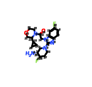 N[C@@H]1CN(c2nc3ccc(F)cc3n2CC(=O)N2CCOCC2C2CC2)CC[C@H]1F